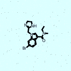 CCN(C)C(=O)c1cn(CC2=NCCN2)c2cc(Br)ccc12